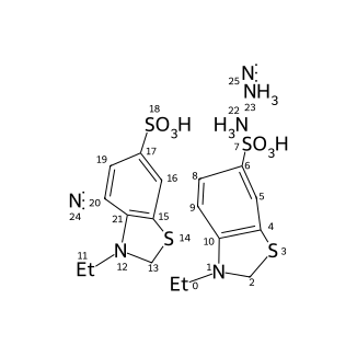 CCN1CSc2cc(S(=O)(=O)O)ccc21.CCN1CSc2cc(S(=O)(=O)O)ccc21.N.N.[N].[N]